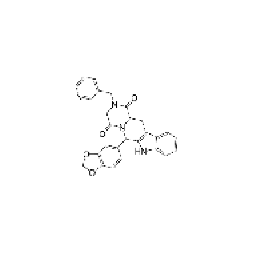 O=C1C2Cc3c([nH]c4ccccc34)C(c3ccc4c(c3)OCO4)N2C(=O)CN1Cc1cccnc1